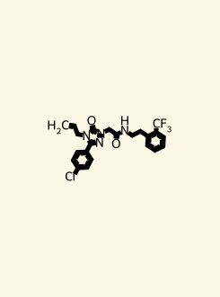 C=CCn1c(-c2ccc(Cl)cc2)nn(CC(=O)NCCc2ccccc2C(F)(F)F)c1=O